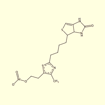 Cc1nc(CCCCC2SC=C3NC(=O)NC32)sc1CCO[N+](=O)[O-]